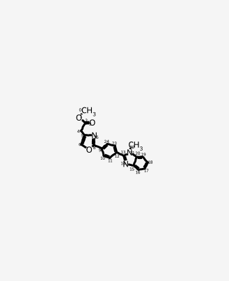 COC(=O)Cc1coc(-c2ccc(-c3nc4ccccc4n3C)cc2)n1